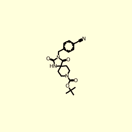 CC(C)(C)OC(=O)N1CCC2(CC1)NC(=O)N(Cc1ccc(C#N)cc1)C2=O